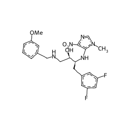 COc1cccc(CNC[C@@H](O)[C@H](Cc2cc(F)cc(F)c2)Nc2c([N+](=O)[O-])ncn2C)c1